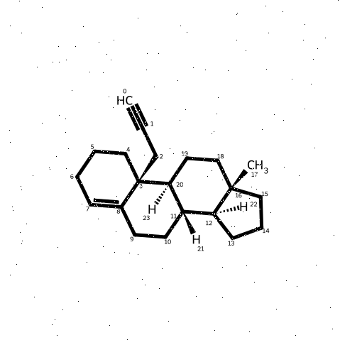 C#CC[C@]12CCCC=C1CC[C@H]1[C@@H]3CCC[C@@]3(C)CC[C@@H]12